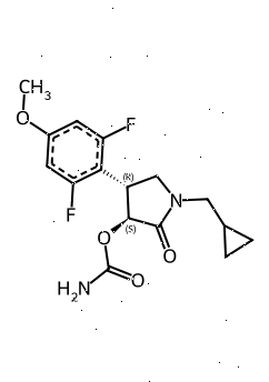 COc1cc(F)c([C@@H]2CN(CC3CC3)C(=O)[C@H]2OC(N)=O)c(F)c1